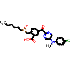 CCCCCC[S+]([O-])Cc1ccc(C(=O)c2ncc(N(C)c3ccc(Cl)cc3)cn2)cc1C(=O)O